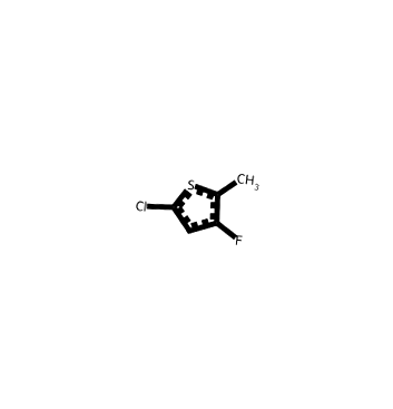 Cc1sc(Cl)cc1F